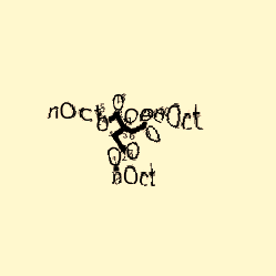 CCCCCCCCOC(=O)CC(CC(=O)OCCCCCCCC)(OC(C)=O)C(=O)OCCCCCCCC